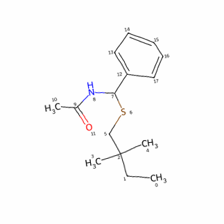 CCC(C)(C)CSC(NC(C)=O)c1ccccc1